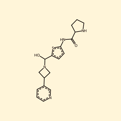 O=C(Nc1ccc(C(O)N2CC(c3cccnc3)C2)s1)C1CCCN1